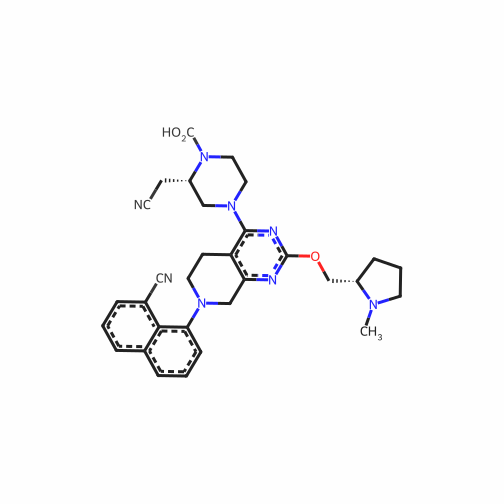 CN1CCC[C@H]1COc1nc2c(c(N3CCN(C(=O)O)[C@@H](CC#N)C3)n1)CCN(c1cccc3cccc(C#N)c13)C2